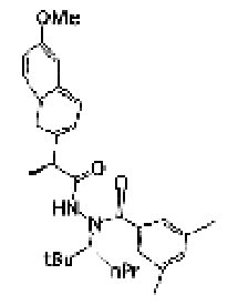 CCC[C@@H](N(NC(=O)[C@@H](C)c1ccc2cc(OC)ccc2c1)C(=O)c1cc(C)cc(C)c1)C(C)(C)C